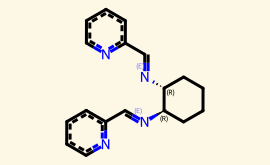 C(=N\[C@@H]1CCCC[C@H]1/N=C/c1ccccn1)/c1ccccn1